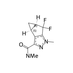 CNC(=O)c1nn(C)c2c1[C@H]1C[C@H]1C2(F)F